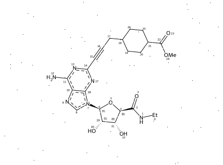 CCNC(=O)[C@@H]1O[C@H](n2cnc3c(N)nc(C#CCC4CCC(C(=O)OC)CC4)nc32)[C@@H](O)[C@H]1O